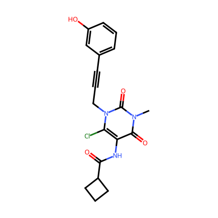 Cn1c(=O)c(NC(=O)C2CCC2)c(Cl)n(CC#Cc2cccc(O)c2)c1=O